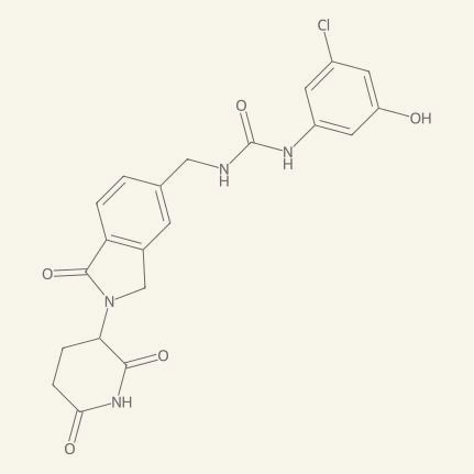 O=C1CCC(N2Cc3cc(CNC(=O)Nc4cc(O)cc(Cl)c4)ccc3C2=O)C(=O)N1